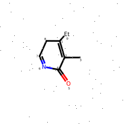 CCC1=C(C)C(=O)N=CC1